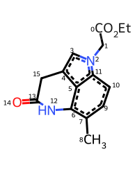 CCOC(=O)Cn1cc2c3c(c(C)ccc31)NC(=O)C2